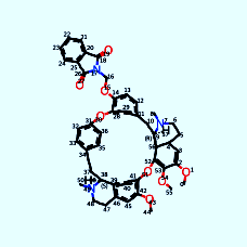 COC1=CC2CCN(C)[C@@H]3Cc4ccc(OCN5C(=O)c6ccccc6C5=O)c(c4)Oc4ccc(cc4)C[C@H]4c5cc(c(OC)cc5CCN4C)OC(=C1OC)C23